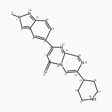 Cn1cc2cc(-c3cc(=O)n4cc(C5CCNCC5)ncc4n3)ccc2n1